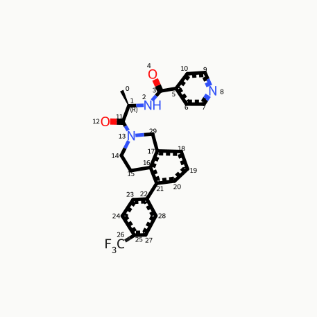 C[C@@H](NC(=O)c1ccncc1)C(=O)N1CCc2c(cccc2-c2ccc(C(F)(F)F)cc2)C1